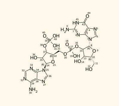 Nc1nc2c(ncn2[C@@H]2O[C@H](CO)C(O)C2OP(=O)(O)OC[C@H]2O[C@@H](n3cnc4c(N)ncnc43)C(O)C2OP(=O)(O)O)c(=O)[nH]1